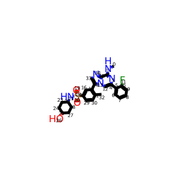 CNc1nc(-c2ccccc2F)cn2c(-c3cc(S(=O)(=O)NC4CCC(O)CC4)ccc3C)cnc12